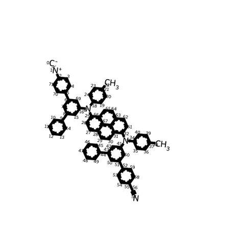 [C-]#[N+]c1ccc(-c2cc(-c3ccccc3)cc(N(c3ccc(C)cc3)c3ccc4ccc5c(N(c6ccc(C)cc6)c6cc(-c7ccccc7)cc(-c7ccc(C#N)cc7)c6)ccc6ccc3c4c65)c2)cc1